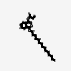 CCCCCCCCCCCCCCCOC(=O)C1CC=CCC1C(=O)OC(C)CC